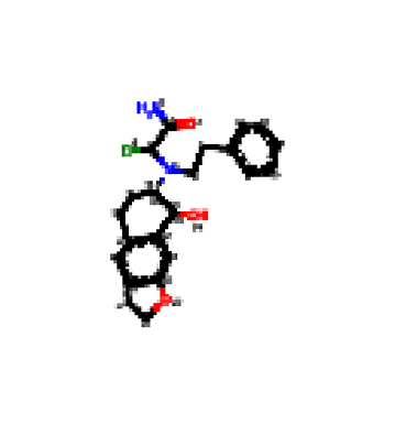 NC(=O)C(Cl)N(CCc1ccccc1)[C@H]1CCc2cc3c(cc2[C@@H]1O)OCC3